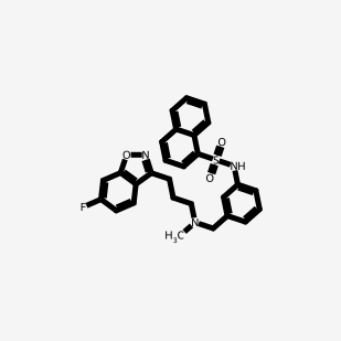 CN(CCCc1noc2cc(F)ccc12)Cc1cccc(NS(=O)(=O)c2cccc3ccccc23)c1